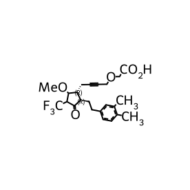 COC1C(C(F)(F)F)C(=O)[C@H](CCc2ccc(C)c(C)c2)[C@H]1CC#CCOCC(=O)O